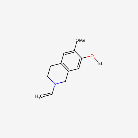 C=CN1CCc2cc(OC)c(OCC)cc2C1